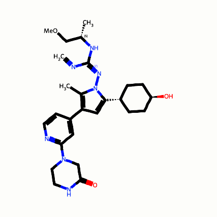 C=N/C(=N\n1c(C)c(-c2ccnc(N3CCNC(=O)C3)c2)cc1[C@H]1CC[C@H](O)CC1)N[C@@H](C)COC